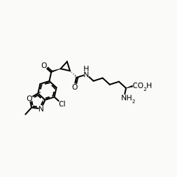 Cc1nc2c(Cl)cc(C(=O)[C@H]3C[C@@H]3C(=O)NCCCC[C@H](N)C(=O)O)cc2o1